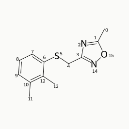 Cc1nc(CSc2cccc(C)c2C)no1